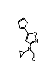 O=CN(c1cc(-c2cccs2)on1)C1CC1